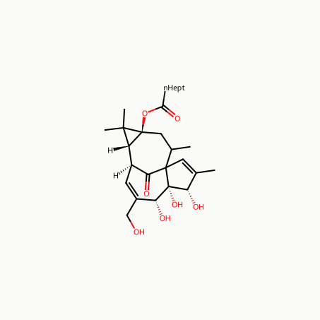 CCCCCCCC(=O)O[C@@]12CC(C)C34C=C(C)[C@H](O)[C@@]3(O)[C@H](O)C(CO)=C[C@H](C4=O)[C@@H]1C2(C)C